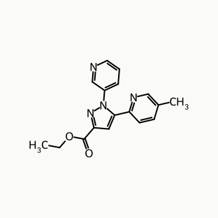 CCOC(=O)c1cc(-c2ccc(C)cn2)n(-c2cccnc2)n1